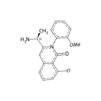 COc1ccccc1-n1c([C@H](C)N)cc2cccc(Cl)c2c1=O